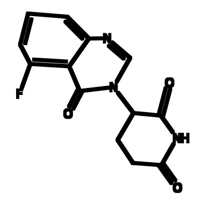 O=C1CCC(n2cnc3cccc(F)c3c2=O)C(=O)N1